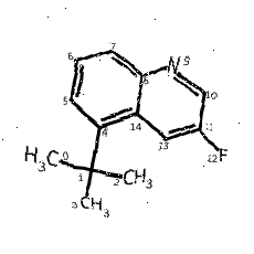 CC(C)(C)c1cccc2ncc(F)cc12